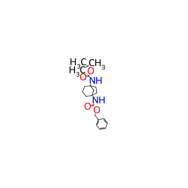 CC(C)(C)OC(=O)NC12CCCC(NC(=O)OCc3ccccc3)(CC1)C2